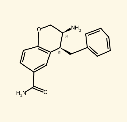 NC(=O)c1ccc2c(c1)[C@H](Cc1ccccc1)[C@H](N)CO2